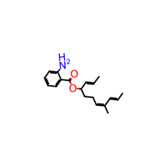 CC=CC(C)=CCCC(C=CC)OC(=O)c1ccccc1N